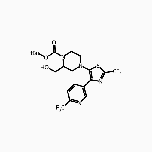 CC(C)(C)OC(=O)N1CCN(c2sc(C(F)(F)F)nc2-c2ccc(C(F)(F)F)nc2)CC1CO